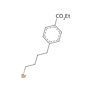 CCOC(=O)c1ccc(CCCCBr)cc1